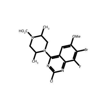 COc1cc2c(N3CC(C)N(C(=O)O)CC3C)nc(Cl)nc2c(F)c1Br